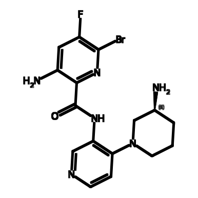 Nc1cc(F)c(Br)nc1C(=O)Nc1cnccc1N1CCC[C@H](N)C1